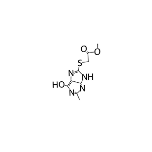 COC(=O)CSc1nc2c(O)nc(C)nc2[nH]1